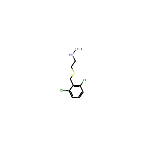 O=CNCCSCc1c(Cl)cccc1Cl